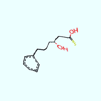 OC(=S)CC(O)CCCc1ccccc1